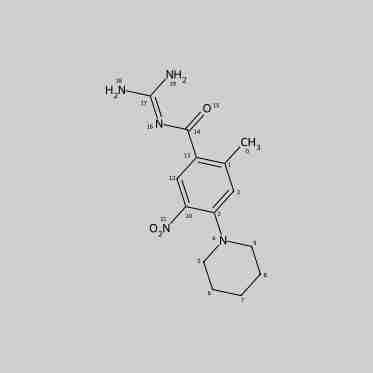 Cc1cc(N2CCCCC2)c([N+](=O)[O-])cc1C(=O)N=C(N)N